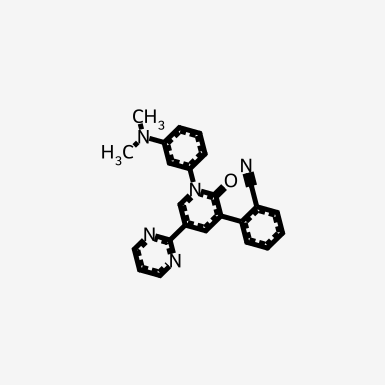 CN(C)c1cccc(-n2cc(-c3ncccn3)cc(-c3ccccc3C#N)c2=O)c1